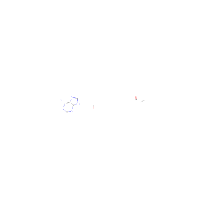 C=CC(=O)OCCCCCCOC(=O)CCn1cnc2c(N)ncnc21